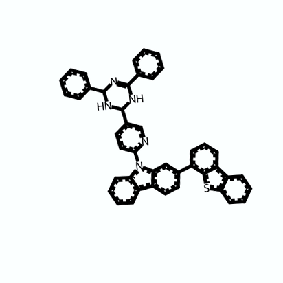 c1ccc(C2=NC(c3ccccc3)NC(c3ccc(-n4c5ccccc5c5ccc(-c6cccc7c6sc6ccccc67)cc54)nc3)N2)cc1